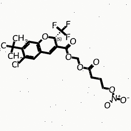 CC(C)(C)c1cc2c(cc1Cl)C=C(C(=O)OCOC(=O)CCCO[N+](=O)[O-])[C@@H](C(F)(F)F)O2